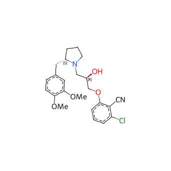 COc1ccc(C[C@@H]2CCCN2C[C@@H](O)COc2cccc(Cl)c2C#N)cc1OC